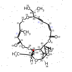 CC1=C[C@H]2O[C@@H]3C[C@H]4OC(=O)/C=C\C=C\[C@H]([C@@H](C)O)OCC/C(C)=C/C(=O)OC[C@@]2(CC1)[C@]4(C)[C@]31CO1